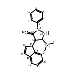 CN(C)C1NN(c2ccccc2)C(=O)C1C1C=Cc2ccccc21